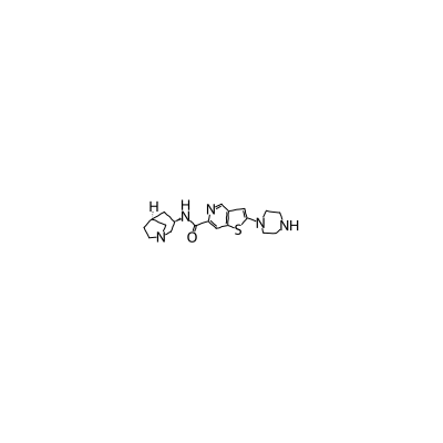 O=C(N[C@@H]1C[C@@H]2CCN(C2)C1)c1cc2sc(N3CCNCC3)cc2cn1